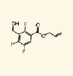 C=CCOC(=O)c1cc(F)c(F)c(CO)c1F